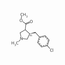 COC(=O)C1CN(C)C[C@@H]1Cc1ccc(Cl)cc1